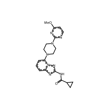 COc1ccnc(N2CCN(c3cccc4nc(NC(=O)C5CC5)nn34)CC2)n1